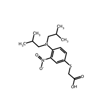 CC(C)CN(CC(C)C)c1ccc(SCC(=O)O)cc1[N+](=O)[O-]